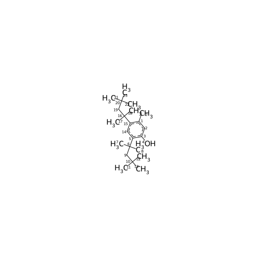 Cc1cc(O)c(C(C)(C)CC(C)(C)C)cc1C(C)(C)CC(C)(C)C